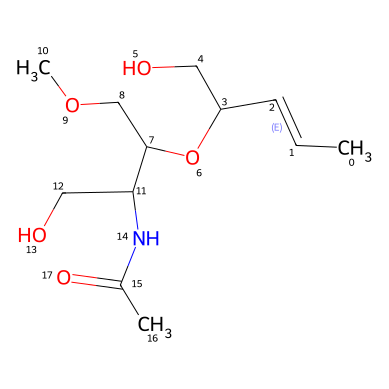 C/C=C/C(CO)OC(COC)C(CO)NC(C)=O